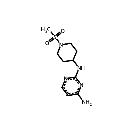 CS(=O)(=O)N1CCC(Nc2nc[c]c(N)n2)CC1